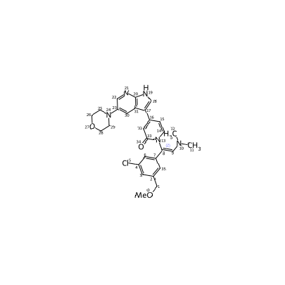 COCc1cc(Cl)cc(/C(=C/N(C)C)n2ccc(-c3c[nH]c4ncc(N5CCOCC5)cc34)cc2=O)c1